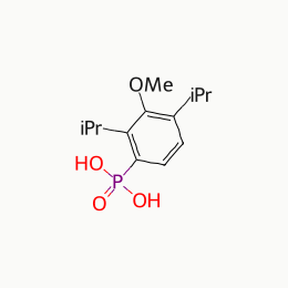 COc1c(C(C)C)ccc(P(=O)(O)O)c1C(C)C